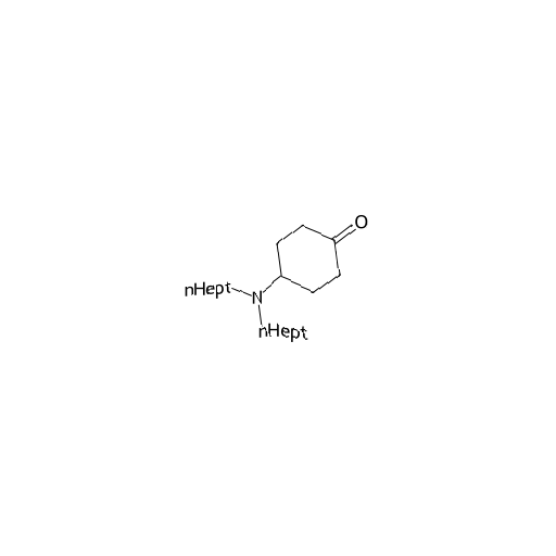 CCCCCCCN(CCCCCCC)C1CCC(=O)CC1